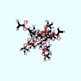 C=C(C)C(=O)OCCC[Si](O[Si](CCCOC(=O)C(=C)C)([Si](C)(O[SiH2]O[Si](C)(C)C)O[Si](C)(C)C)[Si](C)(O[SiH2]O[Si](C)(C)C)O[Si](C)(C)C)([Si](C)(O[SiH2]O[Si](C)(C)C)O[Si](C)(C)C)[Si](C)(O[SiH2]O[Si](C)(C)C)O[Si](C)(C)C